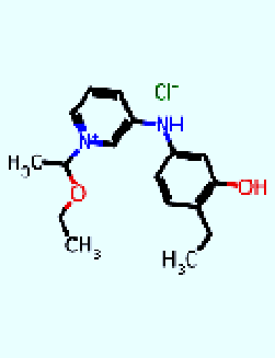 CCOC(C)[n+]1cccc(Nc2ccc(CC)c(O)c2)c1.[Cl-]